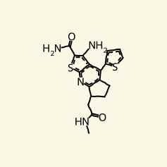 CNC(=O)CC1CCc2c1nc1sc(C(N)=O)c(N)c1c2-c1cccs1